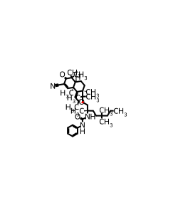 CCCC(C)(C)CC[C@@](C)(CCC(C)(C)[C@]1(C)CC[C@H]2C(C)(C)C(=O)C(C#N)=C[C@]2(C)/C1=C/C(C)=O)NC(=O)Nc1ccccc1